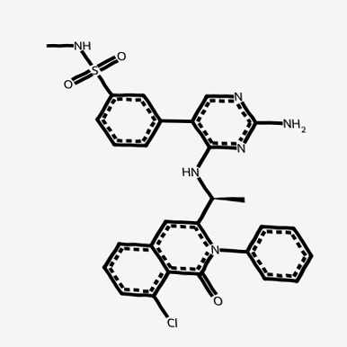 CNS(=O)(=O)c1cccc(-c2cnc(N)nc2N[C@@H](C)c2cc3cccc(Cl)c3c(=O)n2-c2ccccc2)c1